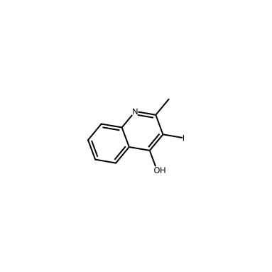 Cc1nc2ccccc2c(O)c1I